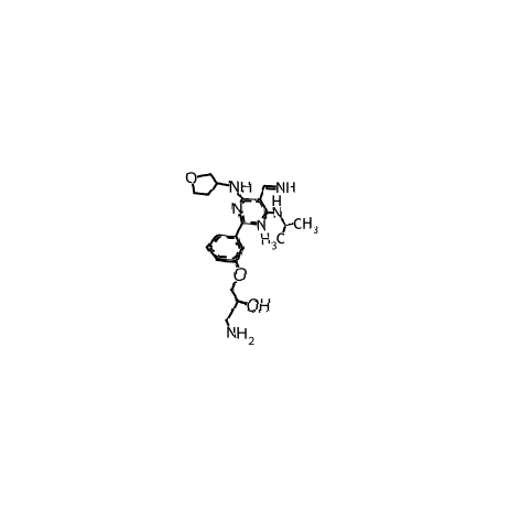 CC(C)Nc1nc(-c2cccc(OCC(O)CN)c2)nc(NC2CCOC2)c1C=N